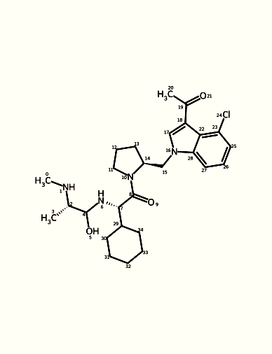 CN[C@@H](C)C(O)N[C@H](C(=O)N1CCC[C@H]1Cn1cc(C(C)=O)c2c(Cl)cccc21)C1CCCCC1